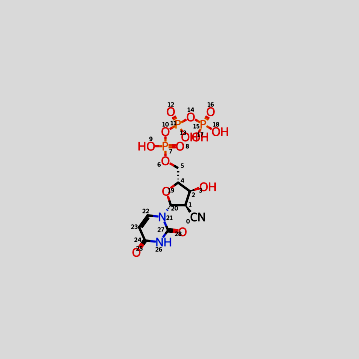 N#C[C@@H]1[C@H](O)[C@@H](COP(=O)(O)OP(=O)(O)OP(=O)(O)O)O[C@H]1n1ccc(=O)[nH]c1=O